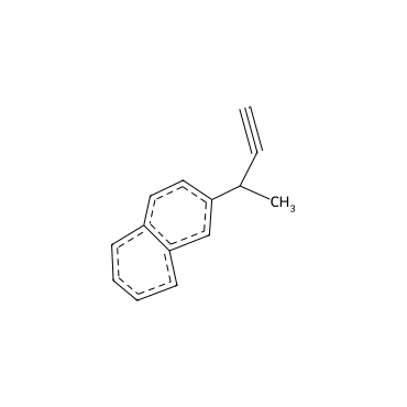 [C]#CC(C)c1ccc2ccccc2c1